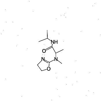 CC(C)NC(=O)C(C)N(C)C1=NCCO1